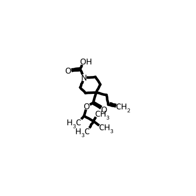 C=CCC1(C(=O)OC(C)C(C)(C)C)CCN(C(=O)O)CC1